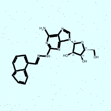 Nc1nc(NN=Cc2cccc3ccccc23)nc2c1ncn2[C@@H]1O[C@H](CO)[C@@H](O)[C@H]1O